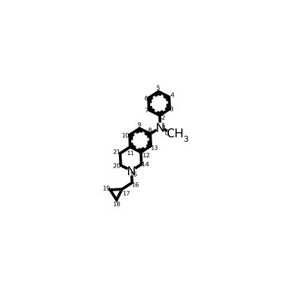 CN(c1ccccc1)c1ccc2c(c1)CN(CC1CC1)CC2